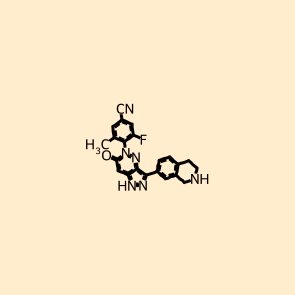 Cc1cc(C#N)cc(F)c1-n1nc2c(-c3ccc4c(c3)CNCC4)n[nH]c2cc1=O